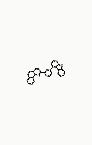 c1cc(-c2ncc3ccc4ccccc4c3n2)cc(-c2cccc3sc4ccccc4c23)c1